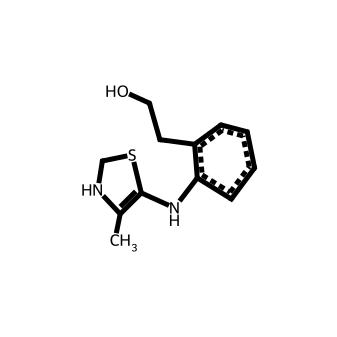 CC1=C(Nc2ccccc2CCO)SCN1